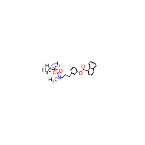 CN(CCCc1cccc(OC(=O)c2cccc3ccccc23)c1)C(=O)OC(C)(C)C